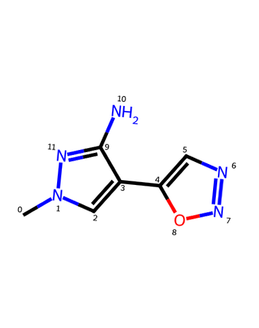 Cn1cc(-c2cnno2)c(N)n1